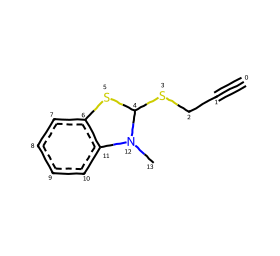 C#CCSC1Sc2ccccc2N1C